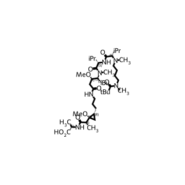 CC[C@H](C)[C@@H]([C@@H](CC(=O)NCCC[C@@H]1C[C@@]1(OC)[C@@H](C)C(=O)N[C@@H](C)C(=O)O)OC)N(C)C(=O)[C@@H](NC(=O)[C@H](C(C)C)N(C)CCCCN(C)C(=O)C(C)(C)C)C(C)C